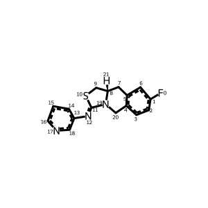 Fc1ccc2c(c1)C[C@H]1CSC(=Nc3cccnc3)N1C2